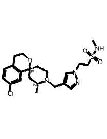 CNS(=O)(=O)CCn1cc(CN2CC[C@]3(C[C@@H]2C)OCCc2ccc(Cl)cc23)cn1